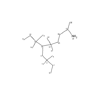 CCC(C)(C)CC(C(C)(C)CC)C(C)(C)CCC(C)N